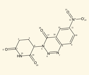 O=C1CCC(n2nnc3ccc([N+](=O)[O-])cc3c2=O)C(=O)N1